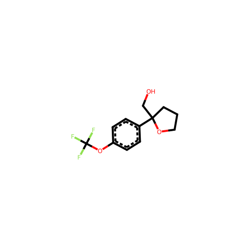 OCC1(c2ccc(OC(F)(F)F)cc2)CCCO1